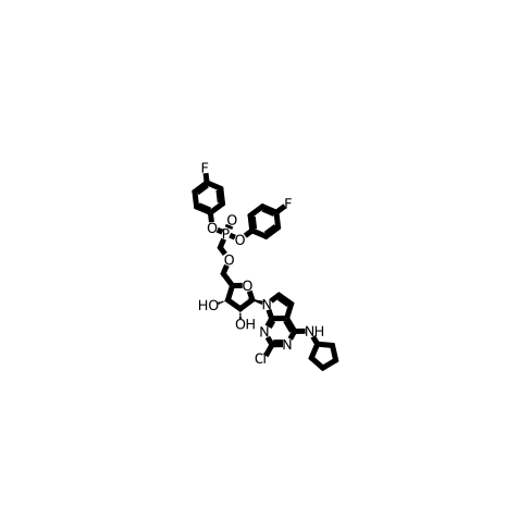 O=P(COCC1O[C@@H](n2ccc3c(NC4CCCC4)nc(Cl)nc32)[C@H](O)[C@@H]1O)(Oc1ccc(F)cc1)Oc1ccc(F)cc1